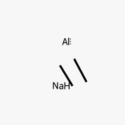 CC.CC.[Al].[NaH]